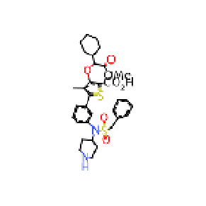 COC(=O)C(Oc1c(C(=O)O)sc(-c2cccc(N(C3CCNCC3)S(=O)(=O)Cc3ccccc3)c2)c1C)C1CCCCC1